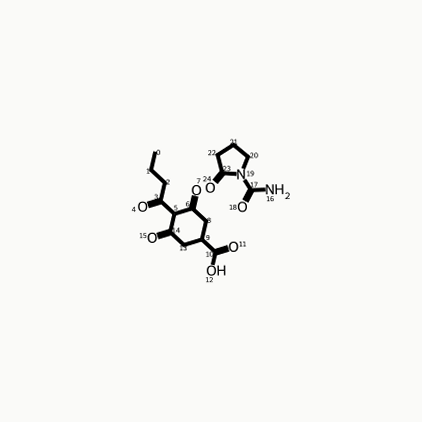 CCCC(=O)C1C(=O)CC(C(=O)O)CC1=O.NC(=O)N1CCCC1=O